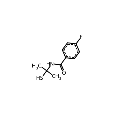 CC(C)(S)NC(=O)c1ccc(F)cc1